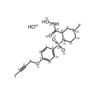 CC#CCOc1ccc(S(=O)(=O)N2CCN(C)CC2C(=O)NO)cc1.Cl